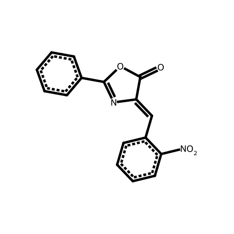 O=C1OC(c2ccccc2)=N/C1=C\c1ccccc1[N+](=O)[O-]